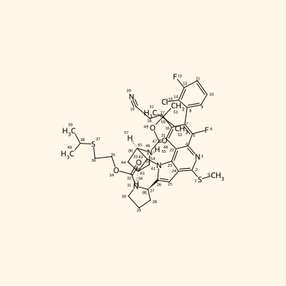 CSc1nc2c(F)c(-c3cccc(F)c3Cl)c(CCC#N)cc2c2c1cc([C@H]1CCCN1C(=O)OCCSC(C)C)n2[C@H]1[C@@H]2C[C@H]1N(C(=O)OC(C)(C)C)C2